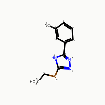 N#Cc1cccc(-c2nnc(SCC(=O)O)[nH]2)c1